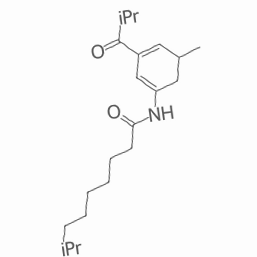 CC(C)CCCCCCC(=O)NC1=CC(C(=O)C(C)C)=CC(C)C1